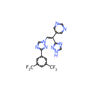 FC(F)(F)c1cc(-c2ncn(C=C(c3cncnc3)c3nc[nH]n3)n2)cc(C(F)(F)F)c1